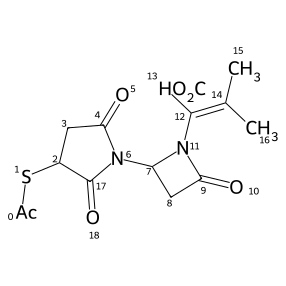 CC(=O)SC1CC(=O)N(C2CC(=O)N2C(C(=O)O)=C(C)C)C1=O